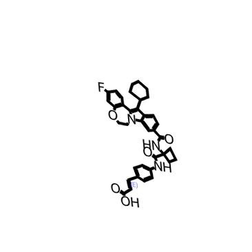 O=C(O)/C=C/c1ccc(NC(=O)C2(NC(=O)c3ccc4c(C5CCCCC5)c5n(c4c3)CCOc3cc(F)ccc3-5)CCC2)cc1